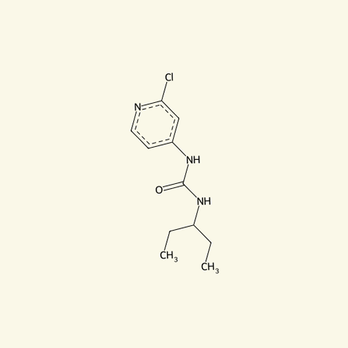 CCC(CC)NC(=O)Nc1ccnc(Cl)c1